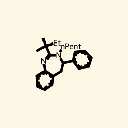 CCCCCN1C(C(C)(C)CC)=Nc2ccccc2CC1c1ccccc1